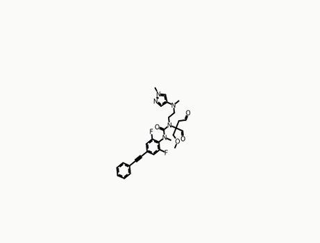 COCC(C=O)(CC=O)N(CCN(C)c1cnn(C)c1)C(=O)N(C)c1c(F)cc(C#Cc2ccccc2)cc1F